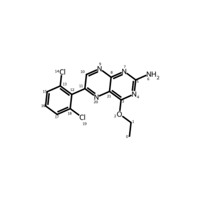 CCOc1nc(N)nc2ncc(-c3c(Cl)cccc3Cl)nc12